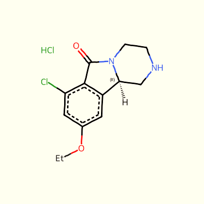 CCOc1cc(Cl)c2c(c1)[C@@H]1CNCCN1C2=O.Cl